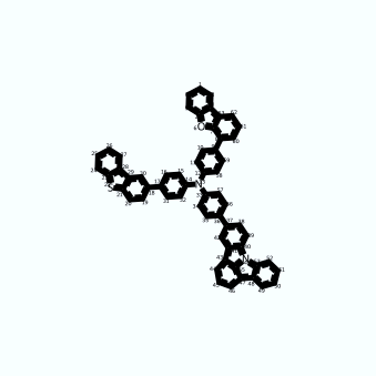 c1ccc2c(c1)oc1c(-c3ccc(N(c4ccc(-c5ccc6sc7ccccc7c6c5)cc4)c4ccc(-c5ccc6c(c5)c5cccc7c8ccccc8n6c75)cc4)cc3)cccc12